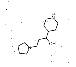 OC(CCN1CCCC1)C1CCNCC1